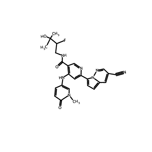 Cn1cc(Nc2cc(-c3ccc4cc(C#N)cnn34)ncc2C(=O)NCC(F)C(C)(C)O)ccc1=O